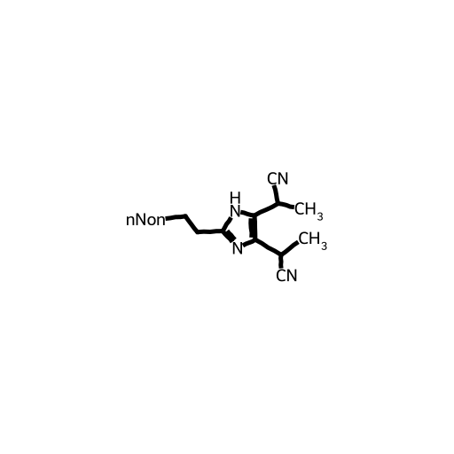 CCCCCCCCCCCc1nc(C(C)C#N)c(C(C)C#N)[nH]1